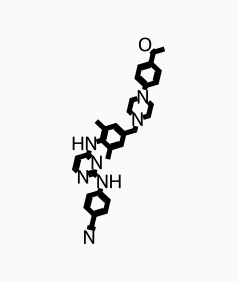 CC(=O)c1ccc(N2CCN(Cc3cc(C)c(Nc4ccnc(Nc5ccc(C#N)cc5)n4)c(C)c3)CC2)cc1